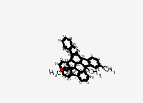 Cc1ccc2c(c1)C1(C)c3cccc4c3C3(c5ccccc5-4)c4cc(C)ccc4-c4c3c1c-2c1sc2ccccc2c41